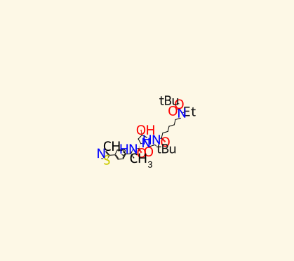 CCN(CCCCCCC(=O)N[C@H](C(=O)N1C[C@H](O)C[C@H]1C(=O)N[C@@H](C)c1ccc(-c2scnc2C)cc1)C(C)(C)C)C(=O)OC(C)(C)C